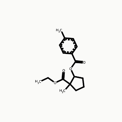 CCOC(=O)C1(C)CCCC1OC(=O)c1ccc(C)cc1